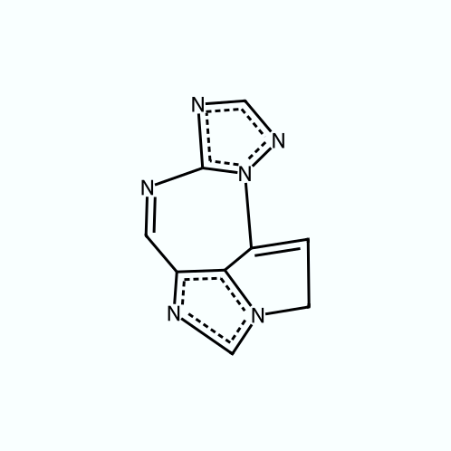 C1=Nc2ncnn2C2=CCn3cnc1c32